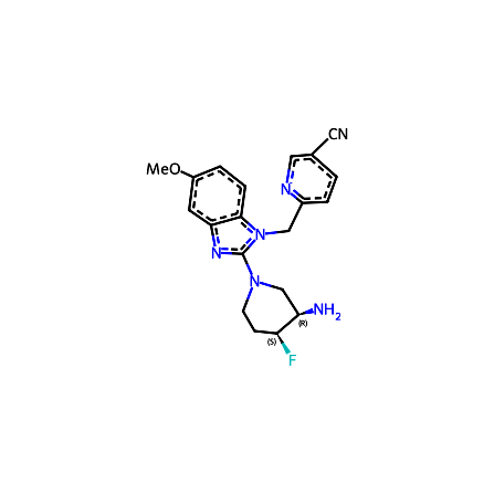 COc1ccc2c(c1)nc(N1CC[C@H](F)[C@H](N)C1)n2Cc1ccc(C#N)cn1